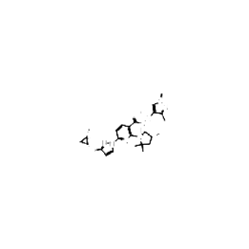 Cc1nn(C)cc1S(=O)(=O)NC(=O)c1ccc(-n2ccc(O[C@H]3C[C@H]3C)n2)nc1N1C[C@@H](C)CC1(C)C